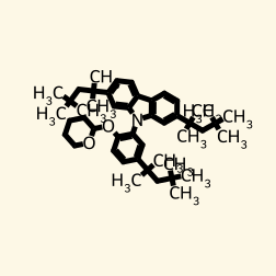 CC(C)(C)CC(C)(C)c1ccc(OC2CCCCO2)c(-n2c3cc(C(C)(C)CC(C)(C)C)ccc3c3ccc(C(C)(C)CC(C)(C)C)cc32)c1